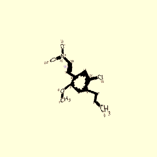 CCCc1cc(OC)c(/C=C/[N+](=O)[O-])cc1Cl